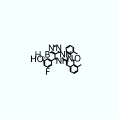 Bc1ncnc(NCc2cc3cccc(C)c3c(=O)n2-c2ccccc2C)c1C(=N)c1cc(O)cc(F)c1